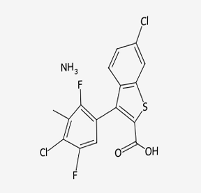 Cc1c(F)c(-c2c(C(=O)O)sc3cc(Cl)ccc23)cc(F)c1Cl.N